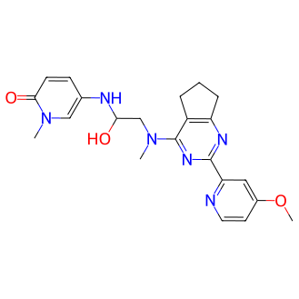 COc1ccnc(-c2nc3c(c(N(C)CC(O)Nc4ccc(=O)n(C)c4)n2)CCC3)c1